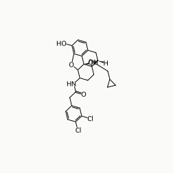 O=C(Cc1ccc(Cl)c(Cl)c1)NC1CC[C@@]2(O)[C@H]3Cc4ccc(O)c5c4[C@@]2(CCN3CC2CC2)C1O5